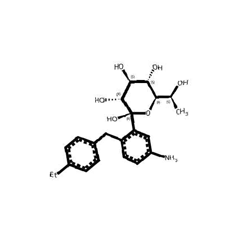 CCc1ccc(Cc2ccc(N)cc2[C@@]2(O)O[C@H]([C@H](C)O)[C@@H](O)[C@H](O)[C@H]2O)cc1